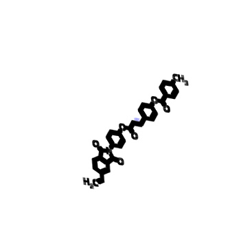 C=Cc1ccc2c(c1)C(=O)N(c1ccc(OC(=O)/C=C/c3ccc(OC(=O)c4ccc(C)cc4)cc3)cc1)C2=O